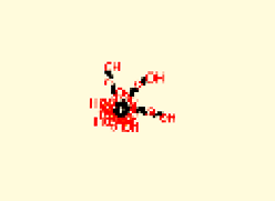 O=C(CCOCCO)O[C@@H]1[C@@H](OC(=O)CCOCCO)[C@H](OP(=O)(O)O)[C@@H](OP(=O)(O)O)[C@@H](OP(=O)(O)O)[C@H]1OC(=O)CCOCCO